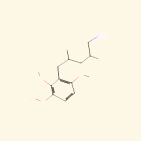 CC(Cc1c(OC(F)(F)F)ccc(OC(F)(F)F)c1OC(F)(F)F)CC(CN)C(=O)O